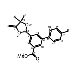 C=C1OB(c2cc(C(=O)OC)cc(-c3ccc(C)cn3)c2)OC1(C)C